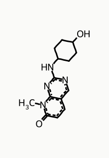 Cn1c(=O)ccc2cnc(NC3CCC(O)CC3)nc21